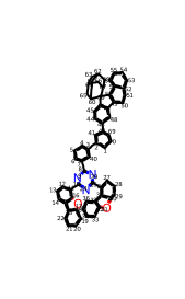 c1cc(-c2cccc(-c3nc(-c4cccc5c4oc4ccccc45)nc(-c4cccc5oc6ccccc6c45)n3)c2)cc(-c2ccc3c(c2)-c2ccc4ccccc4c2C32C3CC4CC(C3)CC2C4)c1